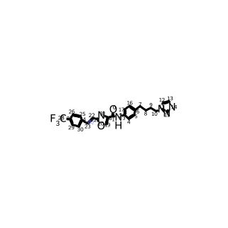 O=C(Nc1ccc(CCCCn2ccnn2)cc1)c1coc(/C=C/c2ccc(C(F)(F)F)cc2)n1